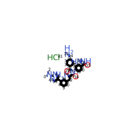 CN(C)c1ncc(-c2cccc(C[C@H](N)C(=O)N(c3ccc4c(=O)[nH][nH]c4c3)C(=O)[C@H]3CC[C@H](CN)CC3)c2)cn1.Cl